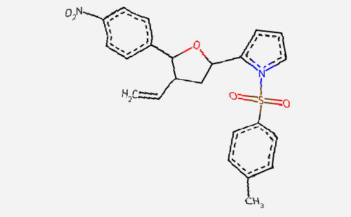 C=CC1CC(c2cccn2S(=O)(=O)c2ccc(C)cc2)OC1c1ccc([N+](=O)[O-])cc1